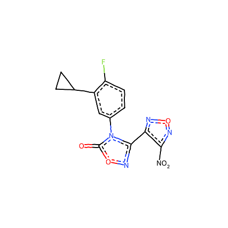 O=c1onc(-c2nonc2[N+](=O)[O-])n1-c1ccc(F)c(C2CC2)c1